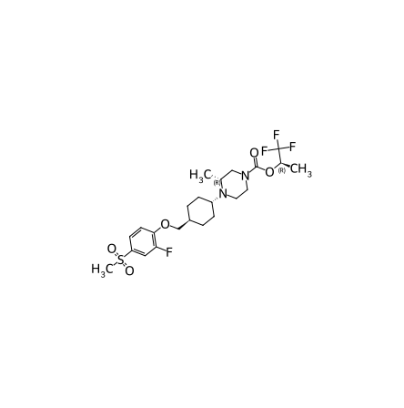 C[C@@H]1CN(C(=O)O[C@H](C)C(F)(F)F)CCN1[C@H]1CC[C@H](COc2ccc(S(C)(=O)=O)cc2F)CC1